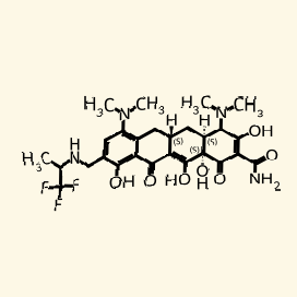 CC(NCc1cc(N(C)C)c2c(c1O)C(=O)C1=C(O)[C@]3(O)C(=O)C(C(N)=O)=C(O)C(N(C)C)[C@@H]3C[C@H]1C2)C(F)(F)F